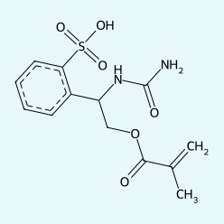 C=C(C)C(=O)OCC(NC(N)=O)c1ccccc1S(=O)(=O)O